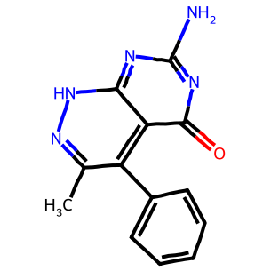 Cc1n[nH]c2nc(N)nc(=O)c-2c1-c1ccccc1